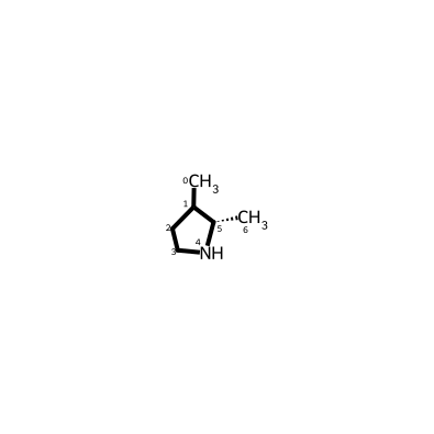 CC1CCN[C@H]1C